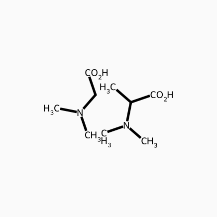 CC(C(=O)O)N(C)C.CN(C)CC(=O)O